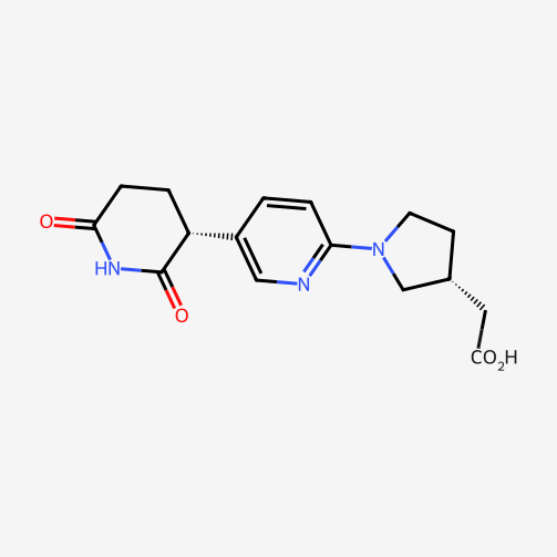 O=C(O)C[C@H]1CCN(c2ccc([C@H]3CCC(=O)NC3=O)cn2)C1